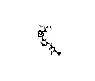 CN(C)C(=O)C12CC(CN(c3nccc(Nc4cc(C5CC5)[nH]n4)n3)C1)C2